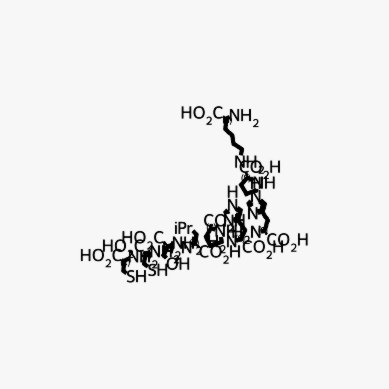 CC(C)C[C@H](N)C(=O)O.NCCCC[C@H](N)C(=O)O.N[C@@H](CO)C(=O)O.N[C@@H](CS)C(=O)O.N[C@@H](CS)C(=O)O.N[C@@H](Cc1c[nH]cn1)C(=O)O.N[C@@H](Cc1c[nH]cn1)C(=O)O.O=C(O)[C@@H]1CCCN1.O=C(O)[C@@H]1CCCN1